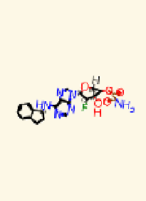 NS(=O)(=O)OC1[C@H]2O[C@@H](n3cnc4c(N[C@H]5CCc6ccccc65)ncnc43)[C@@H](F)[C@@]12O